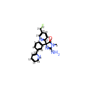 CN1C(=O)C(c2cccc(-c3ccccn3)c2)(c2ccc(CF)cn2)N=C1N